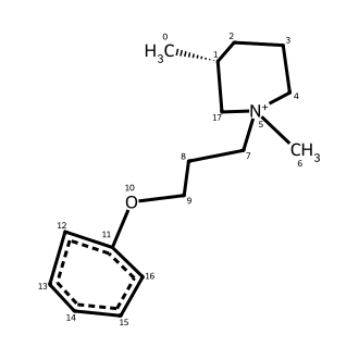 C[C@@H]1CCC[N+](C)(CCCOc2ccccc2)C1